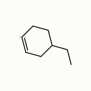 CCC1CC=[C]CC1